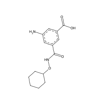 Nc1cc(C(=O)O)cc(C(=O)NOC2CCCCC2)c1